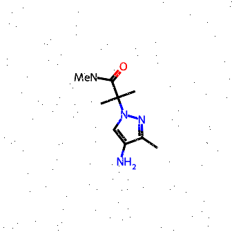 CNC(=O)C(C)(C)n1cc(N)c(C)n1